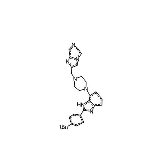 CC(C)(C)c1ccc(-c2nc3cccc(N4CCN(Cc5cn6ccncc6n5)CC4)c3[nH]2)cc1